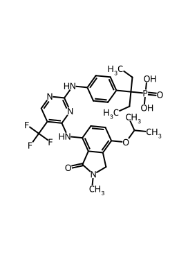 CCC(CC)(c1ccc(Nc2ncc(C(F)(F)F)c(Nc3ccc(OC(C)C)c4c3C(=O)N(C)C4)n2)cc1)P(=O)(O)O